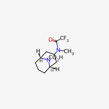 CN(C(=O)C(F)(F)F)C1C[C@H]2CCC[C@@H](C1)N2C(=O)O